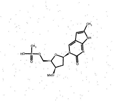 CO[C@@H]1C[C@H](n2cc3cc(C)[nH]c3nc2=O)O[C@@H]1COP(C)(=O)O